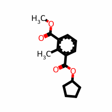 COC(=O)c1cccc(C(=O)OC2CCCC2)c1C